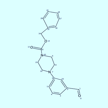 O=Cc1cccc(N2CCN(C(=O)OCc3ccccc3)CC2)c1